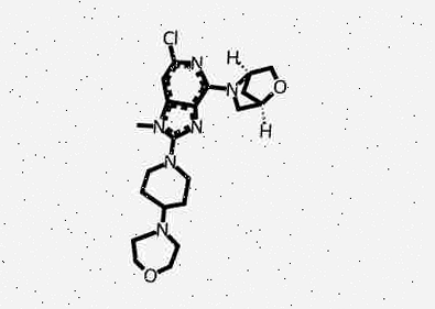 Cn1c(N2CCC(N3CCOCC3)CC2)nc2c(N3C[C@H]4C[C@@H]3CO4)nc(Cl)cc21